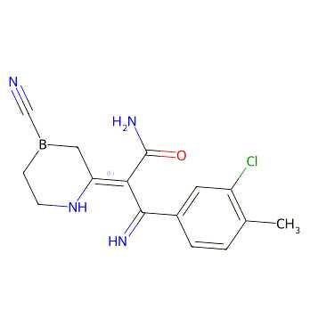 Cc1ccc(C(=N)/C(C(N)=O)=C2/CB(C#N)CCN2)cc1Cl